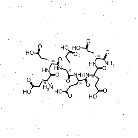 NC(=O)[C@@H](CCC(=O)O)NC(=O)[C@@H](CCC(=O)O)NC(=O)[C@@H](CCC(=O)O)NC(=O)[C@@H](CCC(=O)O)NC(=O)[C@@H](CCC(=O)O)NC(=O)[C@H](N)CCC(=O)O